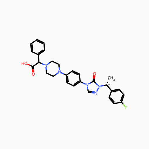 C[C@H](c1ccc(F)cc1)n1ncn(-c2ccc(N3CCN(C(C(=O)O)c4ccccc4)CC3)cc2)c1=O